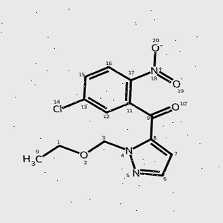 CCOCn1nccc1C(=O)c1cc(Cl)ccc1[N+](=O)[O-]